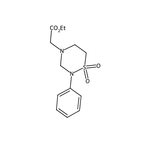 CCOC(=O)CN1CCS(=O)(=O)N(c2ccccc2)C1